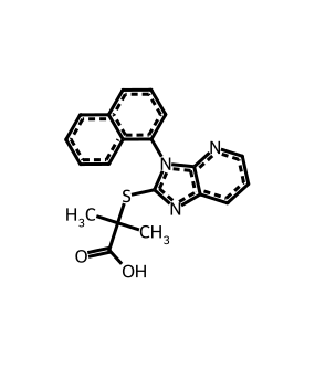 CC(C)(Sc1nc2cccnc2n1-c1cccc2ccccc12)C(=O)O